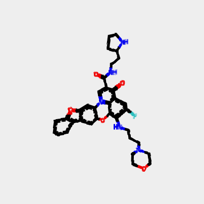 O=C(NCCC1CCCN1)c1cn2c3c(c(NCCCN4CCOCC4)c(F)cc3c1=O)Oc1cc3c(cc1-2)oc1ccccc13